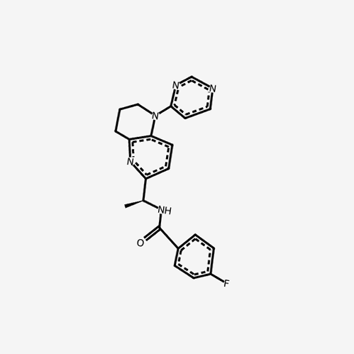 C[C@H](NC(=O)c1ccc(F)cc1)c1ccc2c(n1)CCCN2c1ccncn1